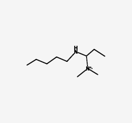 CCCCCNC(CC)[N+](C)C